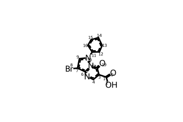 O=C(O)c1cnc2c(Br)cn(-c3ccccc3)n2c1=O